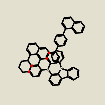 c1ccc(-n2c3ccccc3c3cccc(N(c4ccc(-c5ccc(-c6cccc7ccccc67)cc5)cc4)c4ccccc4-c4cccc5cccc(C6CCCCC6)c45)c32)cc1